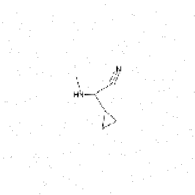 CNC(C#N)C1CC1